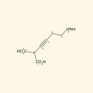 CCCCCCCCC#CC(C(=O)O)C(=O)O